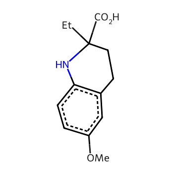 CCC1(C(=O)O)CCc2cc(OC)ccc2N1